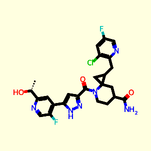 C[C@@H](O)c1cc(-c2cc(C(=O)N3CCC(C(N)=O)CC34CC4Cc3ncc(F)cc3Cl)n[nH]2)c(F)cn1